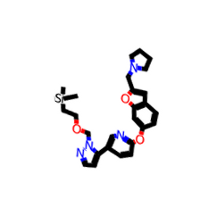 C[Si](C)(C)CCOCn1nccc1-c1ccc(Oc2ccc3cc(CN4CCCC4)oc3c2)nc1